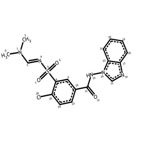 CN(C)C=NS(=O)(=O)c1cc(C(=O)Nn2cnc3ccccc32)ccc1Cl